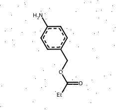 CCC(=O)OCc1ccc(N)cc1